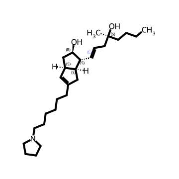 CCCC[C@](C)(O)C/C=C/[C@@H]1[C@H]2CC(CCCCCCN3CCCC3)=C[C@H]2C[C@H]1O